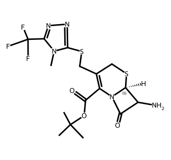 Cn1c(SCC2=C(C(=O)OC(C)(C)C)N3C(=O)C(N)[C@@H]3SC2)nnc1C(F)(F)F